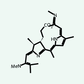 C/N=C(C)/C=c1\[nH]/c(=C(/C)C2=N/C(=C\C(NC)=C(C)C)[C@@H](C)[C@@H]2CCC(=O)O)cc1C